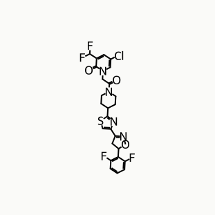 O=C(Cn1cc(Cl)cc(C(F)F)c1=O)N1CCC(c2nc(C3=NOC(c4c(F)cccc4F)C3)cs2)CC1